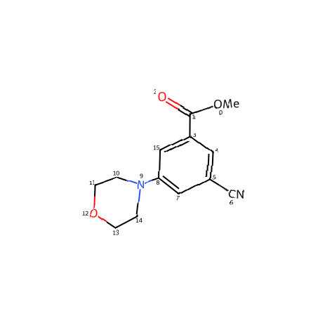 COC(=O)c1cc(C#N)cc(N2CCOCC2)c1